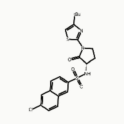 CC(C)(C)c1csc(N2CC[C@H](NS(=O)(=O)c3ccc4cc(Cl)ccc4c3)C2=O)n1